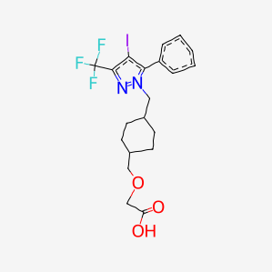 O=C(O)COCC1CCC(Cn2nc(C(F)(F)F)c(I)c2-c2ccccc2)CC1